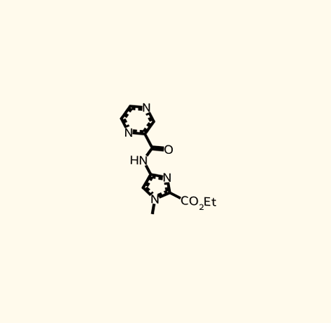 CCOC(=O)c1nc(NC(=O)c2cnccn2)cn1C